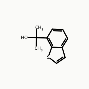 CC(C)(O)c1cccc2ccsc12